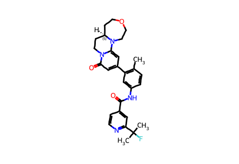 Cc1ccc(NC(=O)c2ccnc(C(C)(C)F)c2)cc1-c1cc2n(c(=O)c1)CC[C@H]1CCOCCN21